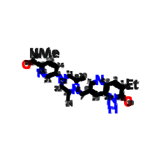 CCc1cc2ncc(CN3C(C)CN(c4ccc(C(=O)NC)nc4)CC3C)cc2[nH]c1=O